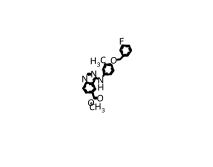 COC(=O)c1ccc2ncnc(Nc3ccc(OCc4cccc(F)c4)c(C)c3)c2c1